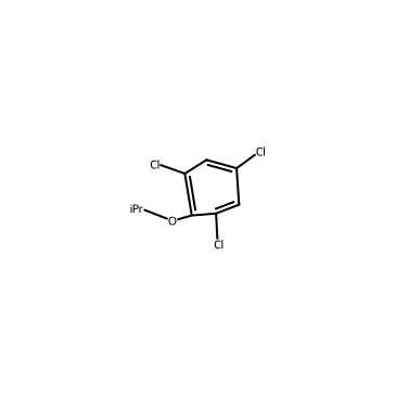 CC(C)Oc1c(Cl)cc(Cl)cc1Cl